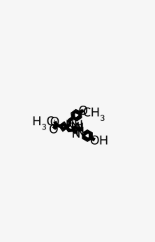 COC(=O)C1CC(Cc2nnn(-c3ccc(O)cc3)n2)(NCc2ccc(OC)cc2)C1